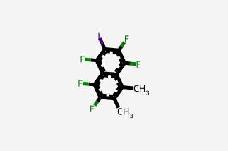 Cc1c(F)c(F)c2c(F)c(I)c(F)c(F)c2c1C